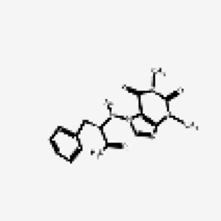 CC(=O)N([C@H](Cc1ccccc1)C(N)=O)n1cnc2c1c(=O)n(C)c(=O)n2C